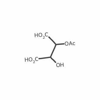 CC(=O)OC(C(=O)O)C(O)C(=O)O